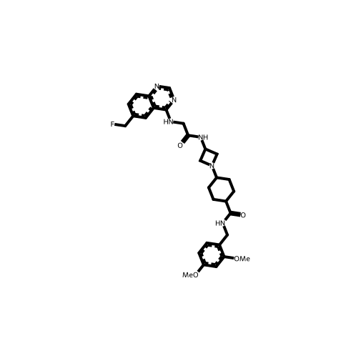 COc1ccc(CNC(=O)C2CCC(N3CC(NC(=O)CNc4ncnc5ccc(CF)cc45)C3)CC2)c(OC)c1